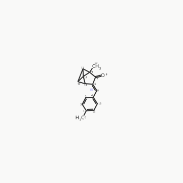 Cc1ccc(/C=C2/C(=O)C3(C)C4C5C2C543)cc1